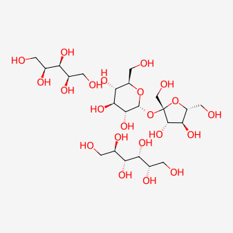 OC[C@@H](O)[C@@H](O)[C@H](O)[C@@H](O)CO.OC[C@@H](O)[C@H](O)[C@@H](O)CO.OC[C@H]1O[C@@](CO)(O[C@H]2O[C@H](CO)[C@@H](O)[C@H](O)[C@H]2O)[C@@H](O)[C@@H]1O